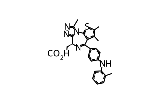 Cc1ccccc1Nc1ccc(C2=N[C@@H](CC(=O)O)c3nnc(C)n3-c3sc(C)c(C)c32)cc1